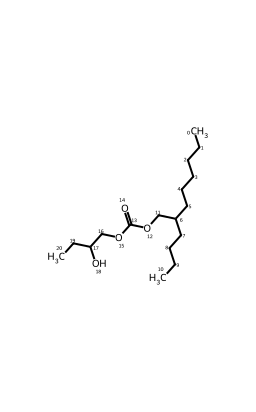 CCCCCCC(CCCC)COC(=O)OCC(O)CC